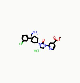 COC(=O)c1ccnc(N2CCN([C@H]3CC[C@@](CN)(c4cccc(Cl)c4)CC3)C2=O)c1.Cl